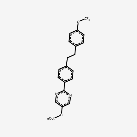 CCCCCCCCOc1cnc(-c2ccc(CCc3ccc(OC(F)(F)F)cc3)cc2)nc1